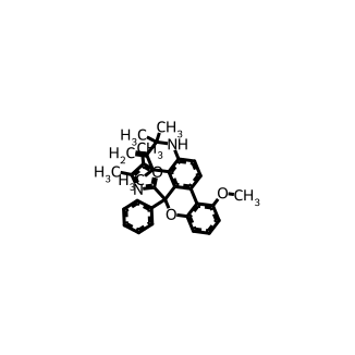 C=C1C(C)c2c(ccc3c2C(c2ccccc2)(c2nc(C)c(C)o2)Oc2cccc(OC)c2-3)NC1(C)C